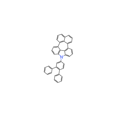 c1ccc(-c2ccc(-n3c4cccc5c4c4c(cccc43)-c3cccc4cccc-5c34)cc2-c2ccccc2)cc1